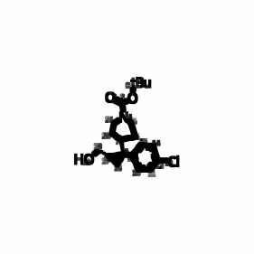 CC(C)(C)OC(=O)N1CCC([C@@]2(c3ccc(Cl)cc3)C[C@@H]2CO)CC1